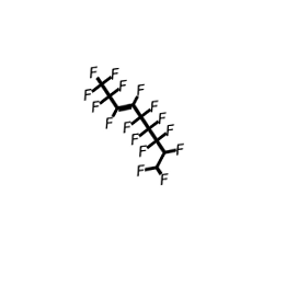 FC(=C(F)C(F)(F)C(F)(F)C(F)(F)C(F)C(F)F)C(F)(F)C(F)(F)F